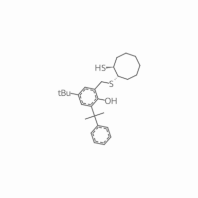 CC(C)(C)c1cc(CS[C@H]2CCCCCC[C@@H]2S)c(O)c(C(C)(C)c2ccccc2)c1